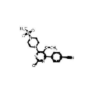 COc1c(-c2ccc(C#N)cc2)nc(Cl)nc1N1CCN(S(C)(=O)=O)CC1